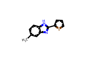 Cc1ccc2[nH]c(-c3cccs3)nc2c1